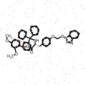 COc1ccc(COC(=O)[C@@H](Cc2ccc(OCOn3nnc4ccccc43)cc2)NC(c2ccccc2)(c2ccccc2)c2ccccc2)c(OC)c1